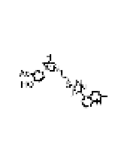 CC(=O)c1cc([C@]23C[C@@H]2CN(CCCSc2nnc(-c4cccc5nc(C)ccc45)n2C)C3)ccc1O